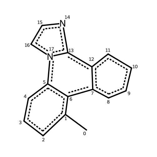 Cc1cccc2c1c1ccccc1c1nccn21